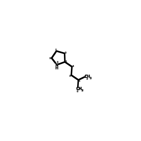 CC(C)CCC1CCCN1